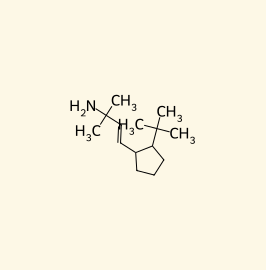 CC(C)(N)C=CC1CCCC1C(C)(C)C